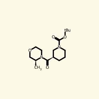 C[C@H]1COCCN1C(=O)[C@@H]1CCCN(C(=O)OC(C)(C)C)C1